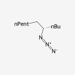 CCCCCC[C@H](CCCC)N=[N+]=[N-]